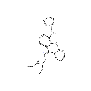 CCNC(CC)C/C=C1\c2ccccc2Oc2c(Nc3cccnc3)cccc21